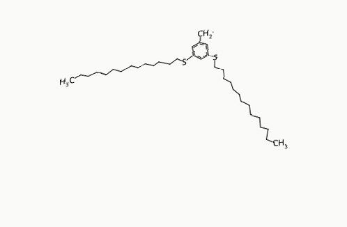 [CH2]c1cc(SCCCCCCCCCCCCCC)cc(SCCCCCCCCCCCCCC)c1